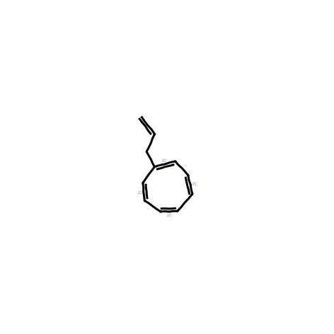 C=CCC1=C/C=C\C=C/C=C\1